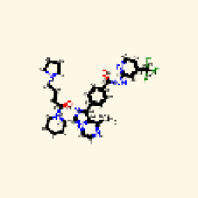 Cc1nccn2c([C@@H]3CCCCN3C(=O)C=CCN3CCCC3)nc(-c3ccc(C(=O)Nc4cc(C(F)(F)F)ccn4)cc3)c12